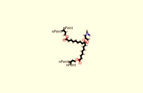 CCCCCC(CCCCC)CCOC(=O)CCCCCCCC1(CCCCCCCC(=O)OCCC(CCCCC)CCCCC)OCC(CN(C)C)O1